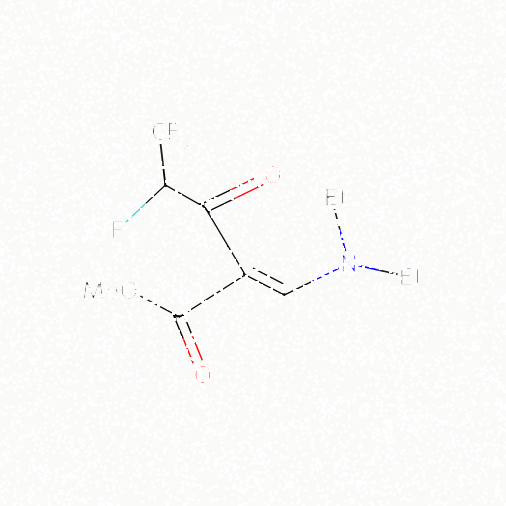 CCN(C=C(C(=O)OC)C(=O)C(F)C(F)(F)F)CC